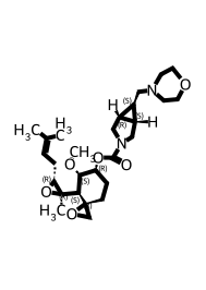 CO[C@@H]1[C@H](OC(=O)N2C[C@@H]3[C@@H](CN4CCOCC4)[C@@H]3C2)CC[C@]2(CO2)[C@H]1[C@@]1(C)O[C@@H]1CC=C(C)C